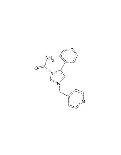 NC(=O)c1cn(Cc2ccncc2)cc1-c1ccccc1